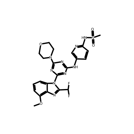 COc1cccc2c1nc(C(F)F)n2-c1nc(Nc2ccc(NS(C)(=O)=O)nc2)nc(N2CCOCC2)n1